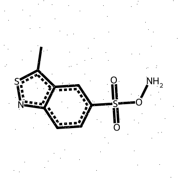 Cc1snc2ccc(S(=O)(=O)ON)cc12